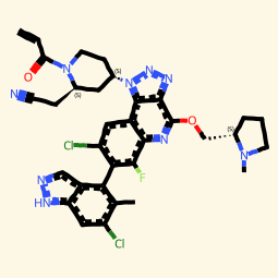 C=CC(=O)N1CC[C@H](n2nnc3c(OC[C@@H]4CCCN4C)nc4c(F)c(-c5c(C)c(Cl)cc6[nH]ncc56)c(Cl)cc4c32)C[C@H]1CC#N